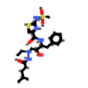 CCN(C[C@H](O)[C@H](Cc1ccccc1)NC(=O)c1csc(NS(C)(=O)=O)n1)NC(=O)CCC(C)C